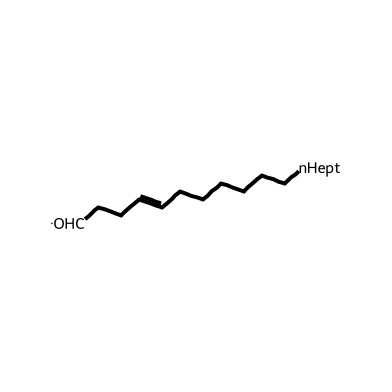 CCCCCCCCCCCCCC=CCC[C]=O